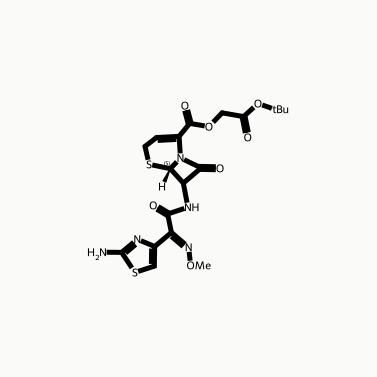 CON=C(C(=O)NC1C(=O)N2C(C(=O)OCC(=O)OC(C)(C)C)=CCS[C@@H]12)c1csc(N)n1